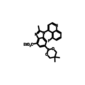 CCOC(=O)c1cc(B2OCC(C)(C)CO2)cc2c1nc(C)n2-c1ccnc2cccc(F)c12